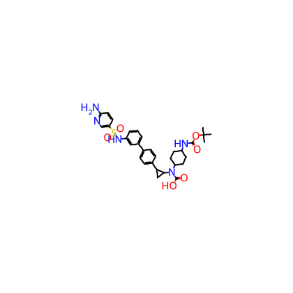 CC(C)(C)OC(=O)NC1CCC(N(C(=O)O)C2CC2c2ccc(-c3cccc(NS(=O)(=O)c4ccc(N)nc4)c3)cc2)CC1